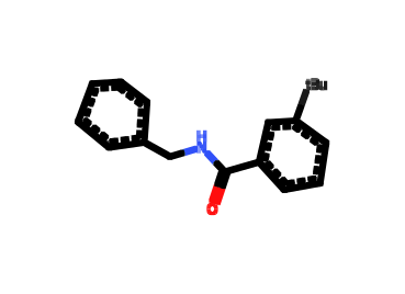 CC(C)(C)c1cccc(C(=O)NCc2ccccc2)c1